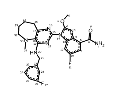 COc1nc2c(C(N)=O)cc(F)cc2n1-c1nc2c(c(NCc3cccc(F)c3)n1)N(C)CCCC2